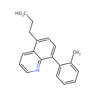 Cc1ccccc1-c1ccc(CCC(=O)O)c2cccnc12